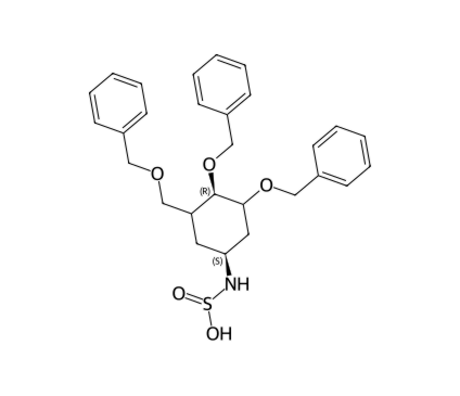 O=S(O)N[C@H]1CC(COCc2ccccc2)[C@@H](OCc2ccccc2)C(OCc2ccccc2)C1